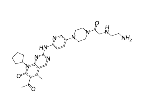 CC(=O)c1c(C)c2cnc(Nc3ccc(N4CCN(C(=O)CNCCN)CC4)cn3)nc2n(C2CCCC2)c1=O